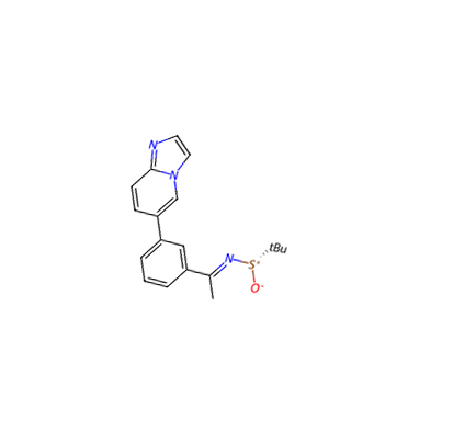 CC(=N[S@@+]([O-])C(C)(C)C)c1cccc(-c2ccc3nccn3c2)c1